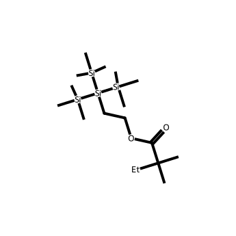 CCC(C)(C)C(=O)OCC[Si]([Si](C)(C)C)([Si](C)(C)C)[Si](C)(C)C